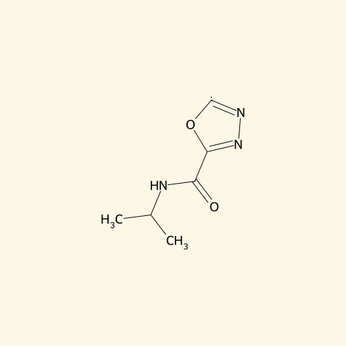 CC(C)NC(=O)c1nn[c]o1